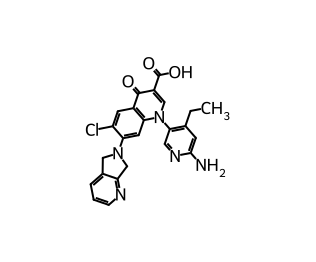 CCc1cc(N)ncc1-n1cc(C(=O)O)c(=O)c2cc(Cl)c(N3Cc4cccnc4C3)cc21